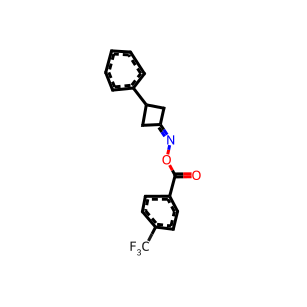 O=C(ON=C1CC(c2ccccc2)C1)c1ccc(C(F)(F)F)cc1